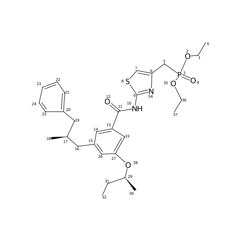 CCOP(=O)(Cc1csc(NC(=O)c2cc(C[C@@H](C)Cc3ccccc3)cc(O[C@@H](C)CC)c2)n1)OCC